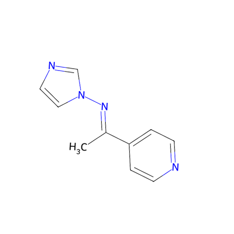 C/C(=N\n1ccnc1)c1ccncc1